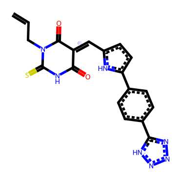 C=CCN1C(=O)/C(=C/c2ccc(-c3ccc(-c4nnn[nH]4)cc3)[nH]2)C(=O)NC1=S